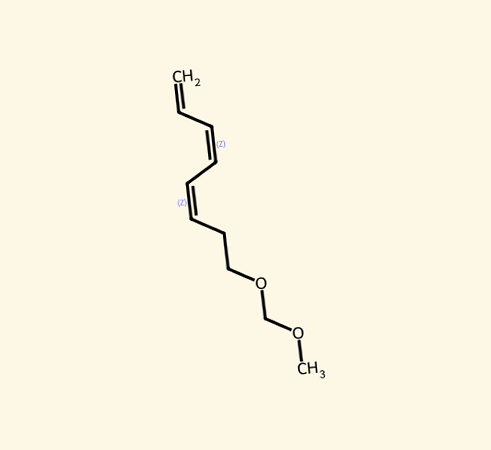 C=C/C=C\C=C/CCOCOC